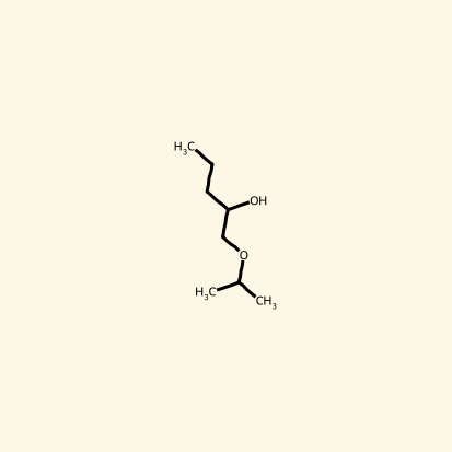 CCCC(O)COC(C)C